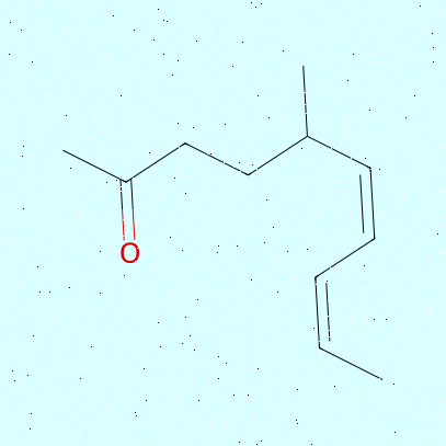 C/C=C\C=C/C(C)CCC(C)=O